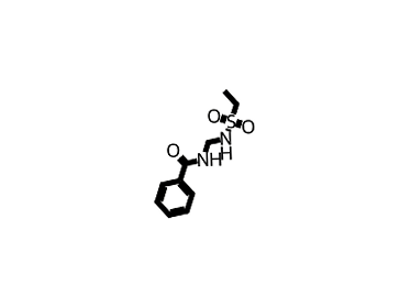 CCS(=O)(=O)NCNC(=O)c1ccccc1